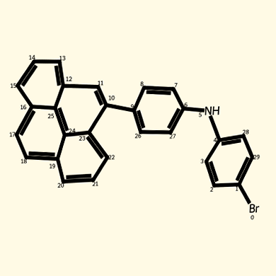 Brc1ccc(Nc2ccc(-c3cc4cccc5ccc6cccc3c6c54)cc2)cc1